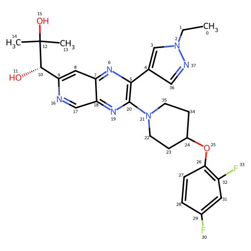 CCn1cc(-c2nc3cc([C@H](O)C(C)(C)O)ncc3nc2N2CCC(Oc3ccc(F)cc3F)CC2)cn1